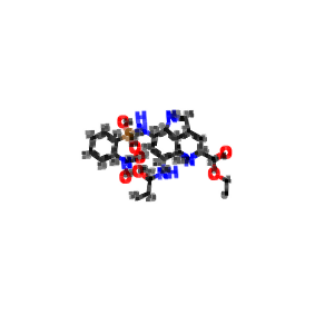 CCOC(=O)c1cc2c3c(c(NS(=O)(=O)c4ccccc4[N+](=O)[O-])cc(NC(=O)CC)c3n1)N=C2